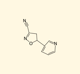 N#CC1=NOC(c2cccnc2)C1